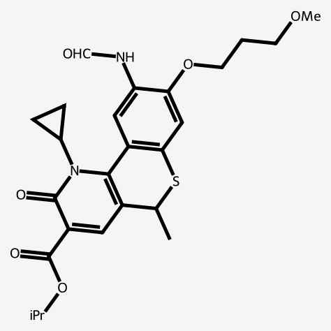 COCCCOc1cc2c(cc1NC=O)-c1c(cc(C(=O)OC(C)C)c(=O)n1C1CC1)C(C)S2